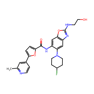 Cc1cc(-c2ccc(C(=O)Nc3cc4oc(NCCO)nc4cc3N3CCC(F)CC3)o2)ccn1